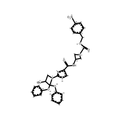 CC(C)(C)C1CN(c2nc(C(=O)NC3CN(C(=O)OCc4ccc([N+](=O)[O-])cc4)C3)cs2)C1(Oc1ccccc1)Oc1ccccc1